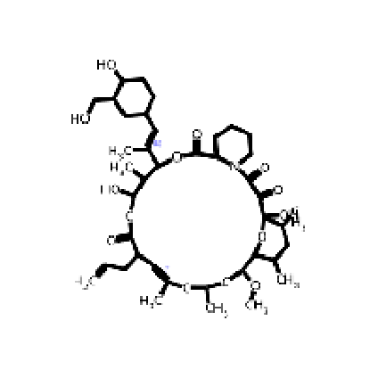 C=CCC1/C=C(\C)CC(C)CC(OC)C2OC(O)(C(=O)C(=O)N3CCCCC3C(=O)OC(/C(C)=C/C3CCC(O)C(CO)C3)C(C)C(O)CC1=O)C(C)CC2C